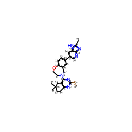 CSc1nc2c(c(N3CCOc4ccc(-c5cnc6nc(C)[nH]c6c5)cc4C3)n1)CC(C)(C)CC2